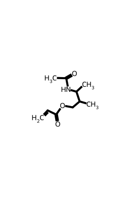 C=CC(=O)OCC(C)C(C)NC(C)=O